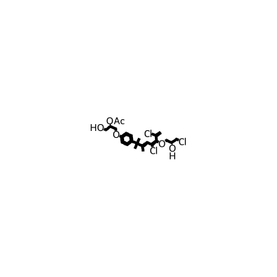 C=C(Cl)/C(OC[C@@H](O)CCl)=C(Cl)\C=C(/C)C(C)(C)c1ccc(OC[C@H](CO)OC(C)=O)cc1